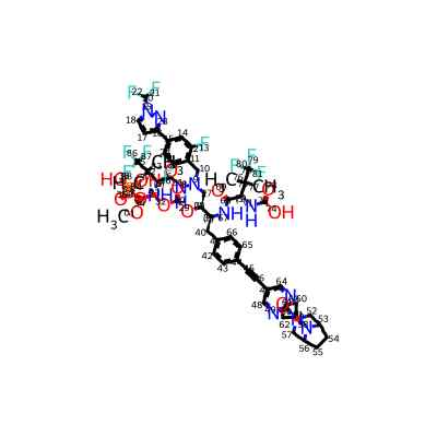 COC(=O)N[C@H](C(=O)NN(Cc1c(F)cc(-c2ccn(C(F)F)n2)cc1F)C[C@H](OC(=O)OCOP(=O)(O)O)[C@H](Cc1ccc(C#Cc2cnc(N3CC4CCC(C3)N4C3COC3)nc2)cc1)NC(=O)[C@@H](NC(=O)O)C(C)(C)C(F)(F)F)C(C)(C)C(F)(F)F